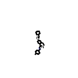 Cc1ccc(/C=C/C2=NCCc3cc(OCc4ccccc4)ccc32)cc1